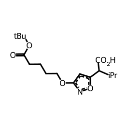 CC(C)C(C(=O)O)c1cc(OCCCCC(=O)OC(C)(C)C)no1